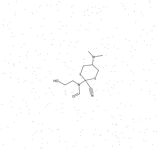 CN(C)C1CSC(C#N)(N(C=O)CCO)SC1